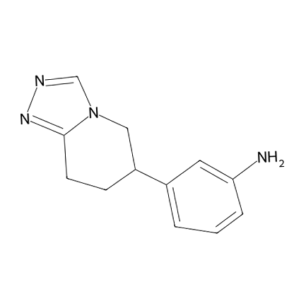 Nc1cccc(C2CCc3nncn3C2)c1